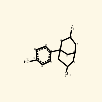 CCC1CC2CC(C)CC(c3ccc(O)cc3)(C1)C2